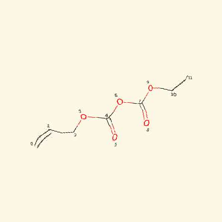 C=CCOC(=O)OC(=O)OCC